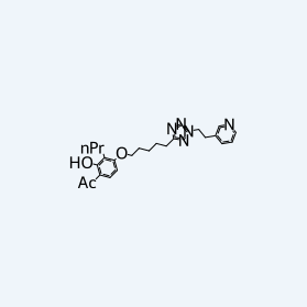 CCCc1c(OCCCCCc2nnn(CCc3cccnc3)n2)ccc(C(C)=O)c1O